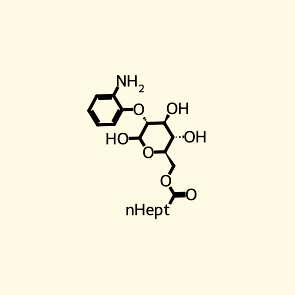 CCCCCCCC(=O)OC[C@H]1OC(O)[C@H](Oc2ccccc2N)[C@@H](O)[C@@H]1O